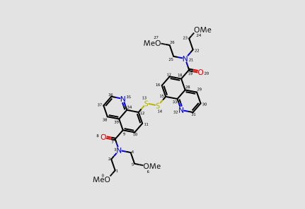 COCCN(CCOC)C(=O)c1ccc(SSc2ccc(C(=O)N(CCOC)CCOC)c3cccnc23)c2ncccc12